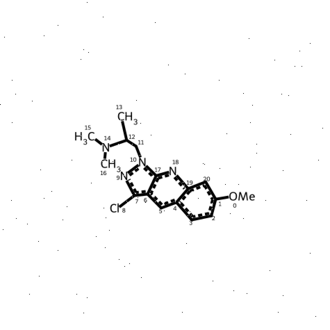 COc1ccc2cc3c(Cl)nn(CC(C)N(C)C)c3nc2c1